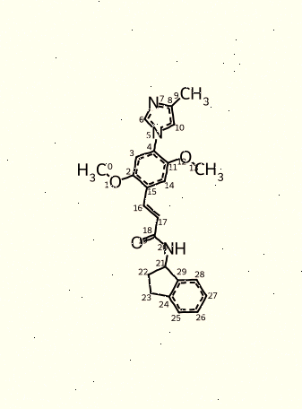 COc1cc(-n2cnc(C)c2)c(OC)cc1/C=C/C(=O)NC1CCc2ccccc21